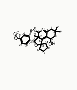 CC(C)C1N=C2CC(C)(C)CC(O)C2=C2C3(CCCC3)O[C@H](c3ccc(OC(F)(F)F)cc3)C21C